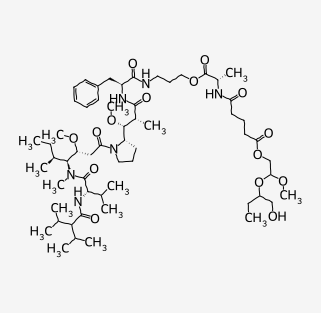 CCC(CO)OC(COC(=O)CCCC(=O)N[C@@H](C)C(=O)OCCCNC(=O)[C@H](Cc1ccccc1)NC(=O)[C@H](C)[C@@H](OC)[C@@H]1CCCN1C(=O)C[C@@H](OC)[C@H]([C@@H](C)CC)N(C)C(=O)[C@@H](NC(=O)C(C(C)C)C(C)C)C(C)C)OC